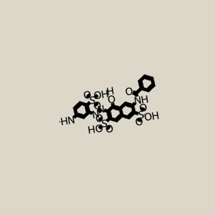 [NH]c1ccc(S(=O)(=O)O)c(/N=N/c2c(S(=O)(=O)O)cc3cc(S(=O)(=O)O)c(NC(=O)c4ccccc4)cc3c2O)c1